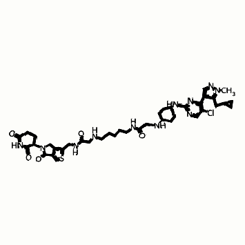 Cn1ncc(-c2nc(N[C@H]3CC[C@H](NCC(=O)NCCCCCNCC(=O)NCc4scc5c4CN(C4CCC(=O)NC4=O)C5=O)CC3)ncc2Cl)c1CC1CC1